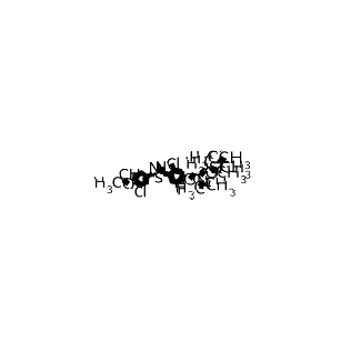 CC(C)Oc1ccc(-c2nnc(-c3cc(F)c(OC[C@@H](CO[Si](C)(C)C(C)(C)C)N(C)C)cc3Cl)s2)cc1Cl